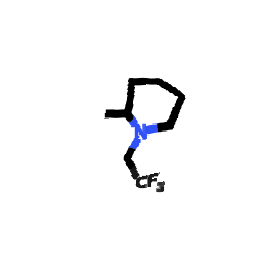 CC1CCCCN1CC(F)(F)F